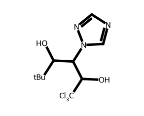 CC(C)(C)C(O)C(C(O)C(Cl)(Cl)Cl)n1cncn1